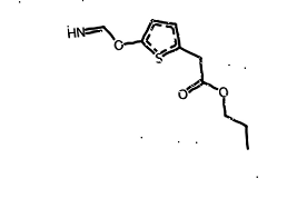 CCCOC(=O)Cc1ccc(OC=N)s1